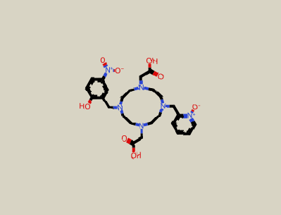 O=C(O)CN1CCN(Cc2cc([N+](=O)[O-])ccc2O)CCN(CC(=O)O)CCN(Cc2cccc[n+]2[O-])CC1